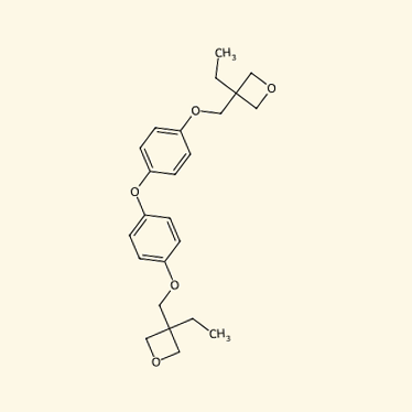 CCC1(COc2ccc(Oc3ccc(OCC4(CC)COC4)cc3)cc2)COC1